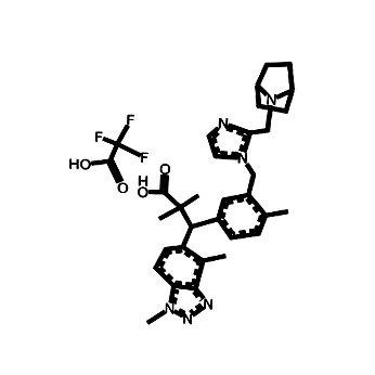 Cc1ccc(C(c2ccc3c(nnn3C)c2C)C(C)(C)C(=O)O)cc1Cn1ccnc1CN1C2CCC1CC2.O=C(O)C(F)(F)F